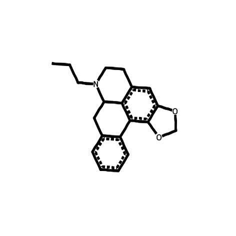 CCCN1CCc2cc3c(c4c2C1Cc1ccccc1-4)OCO3